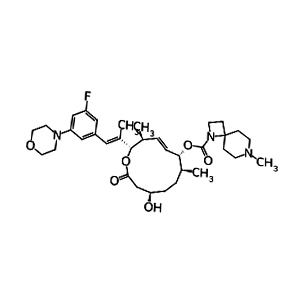 C/C(=C\c1cc(F)cc(N2CCOCC2)c1)[C@H]1OC(=O)C[C@H](O)CC[C@H](C)[C@@H](OC(=O)N2CCC23CCN(C)CC3)/C=C/[C@@H]1C